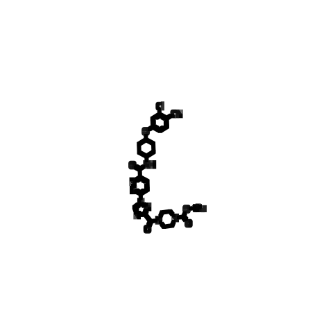 CC(C)(C)OC(=O)N1CCN(C(=O)c2ncn(-c3ccc(C(=O)NC4CCC(Oc5ccc(C#N)c(Cl)c5)CC4)nn3)n2)CC1